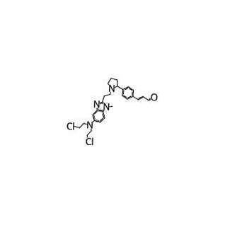 Cn1c(CCN2CCCC2c2ccc(/C=C/C=O)cc2)nc2cc(N(CCCl)CCCl)ccc21